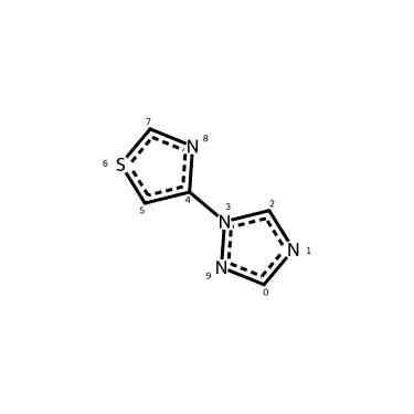 c1ncn(-c2cscn2)n1